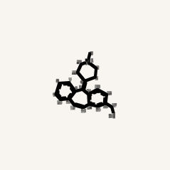 CN1CCC(=C2c3ccccc3C=Cc3cc(CI)ccc32)CC1